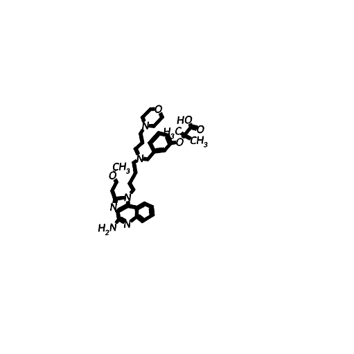 COCCc1nc2c(N)nc3ccccc3c2n1CCCCN(CCCN1CCOCC1)Cc1cccc(OC(C)(C)C(=O)O)c1